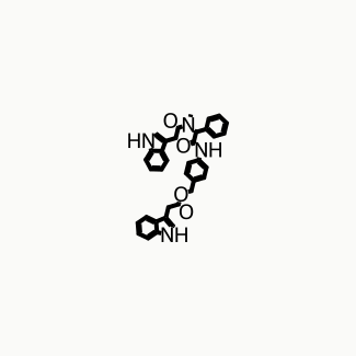 CN(C(=O)Cc1c[nH]c2ccccc12)C(C(=O)Nc1ccc(COC(=O)Cc2c[nH]c3ccccc23)cc1)c1ccccc1